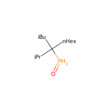 CCCCCCC([PH2]=O)(C(C)C)C(C)CC